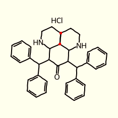 Cl.O=C(C(C1CCCCN1)C(c1ccccc1)c1ccccc1)C(C1CCCCN1)C(c1ccccc1)c1ccccc1